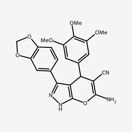 COc1cc(C2C(C#N)=C(N)Oc3[nH]nc(-c4ccc5c(c4)OCO5)c32)cc(OC)c1OC